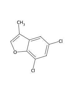 Cc1coc2c(Cl)cc(Cl)cc12